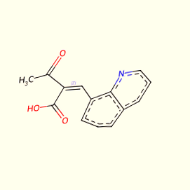 CC(=O)/C(=C/c1cccc2cccnc12)C(=O)O